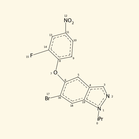 CC(C)n1ncc2cc(Oc3ccc([N+](=O)[O-])cc3F)c(Br)cc21